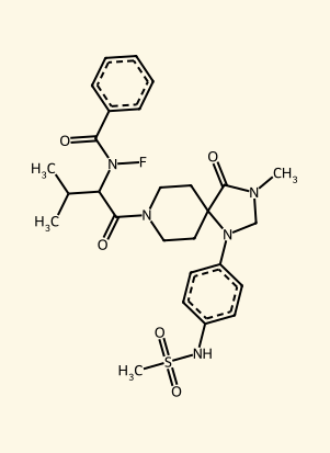 CC(C)C(C(=O)N1CCC2(CC1)C(=O)N(C)CN2c1ccc(NS(C)(=O)=O)cc1)N(F)C(=O)c1ccccc1